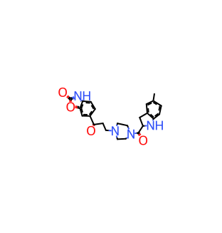 Cc1ccc2c(c1)CC(C(=O)N1CCN(CCC(=O)c3ccc4[nH]c(=O)oc4c3)CC1)N2